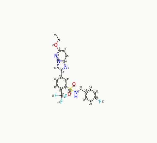 CCOc1ccc2nc(-c3ccc(C(F)(F)F)c(S(=O)(=O)NCc4ccc(F)cc4)c3)cn2n1